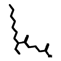 CCCCCCCC(CC)C(=O)CCCC(=O)O